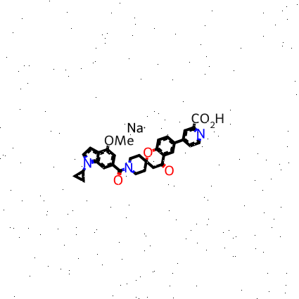 COc1cc(C(=O)N2CCC3(CC2)CC(=O)c2cc(-c4ccnc(C(=O)O)c4)ccc2O3)cc2c1ccn2C1CC1.[Na]